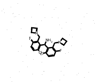 NC(c1c(Cl)ccc(F)c1CN1CCC1)c1c(Cl)ccc(F)c1CN1CCC1